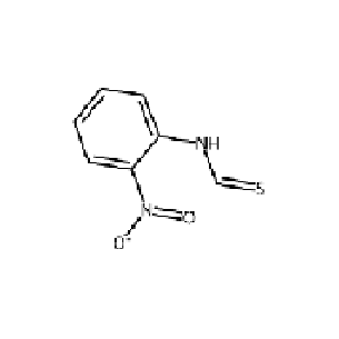 O=[N+]([O-])c1ccccc1NC=S